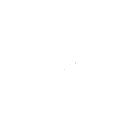 Cc1c(C(=O)N[C@H](C(=O)OCc2ccc(F)cc2)[C@@H](C)OCc2ccccc2)ccc2c1B(O)OC2